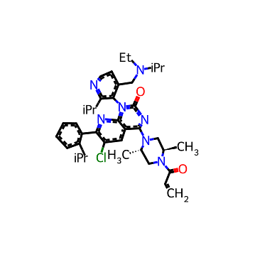 C=CC(=O)N1C[C@H](C)N(c2nc(=O)n(-c3c(CN(CC)C(C)C)ccnc3C(C)C)c3nc(-c4ccccc4C(C)C)c(Cl)cc23)C[C@H]1C